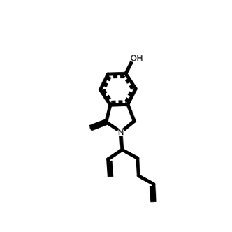 C=CCCC(C=C)N1Cc2cc(O)ccc2C1=C